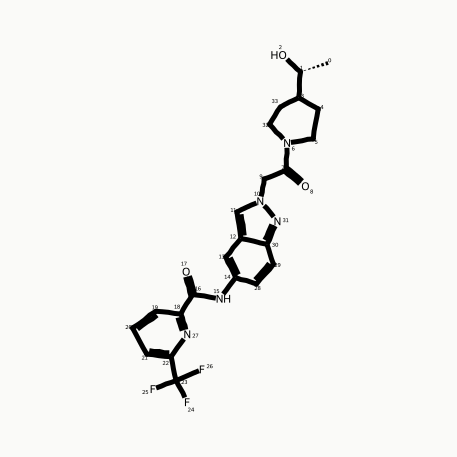 C[C@@H](O)C1CCN(C(=O)Cn2cc3cc(NC(=O)c4cccc(C(F)(F)F)n4)ccc3n2)CC1